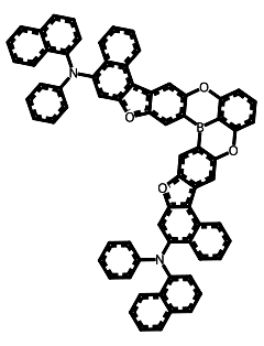 c1ccc(N(c2cccc3ccccc23)c2cc3oc4cc5c(cc4c3c3ccccc23)Oc2cccc3c2B5c2cc4oc5cc(N(c6ccccc6)c6cccc7ccccc67)c6ccccc6c5c4cc2O3)cc1